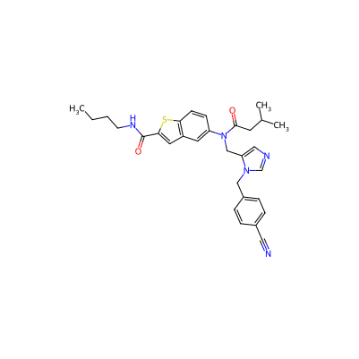 CCCCNC(=O)c1cc2cc(N(Cc3cncn3Cc3ccc(C#N)cc3)C(=O)CC(C)C)ccc2s1